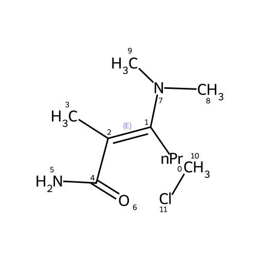 CCC/C(=C(/C)C(N)=O)N(C)C.CCl